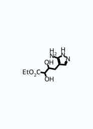 CCOC(=O)C(O)C(O)Cc1cn[nH]c1N